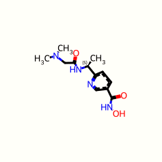 C[C@H](NC(=O)CN(C)C)c1ccc(C(=O)NO)cn1